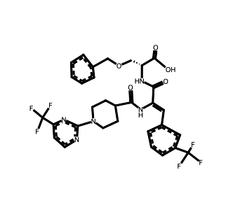 O=C(N[C@H](COCc1ccccc1)C(=O)O)C(=Cc1cccc(C(F)(F)F)c1)NC(=O)C1CCN(c2nccc(C(F)(F)F)n2)CC1